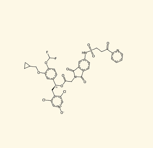 O=C(CN1C(=O)c2ccc(NS(=O)(=O)CCC(=O)c3ccccn3)cc2C1=O)O[C@@H](Cc1c(Cl)c[n+]([O-])cc1Cl)c1ccc(OC(F)F)c(OCC2CC2)c1